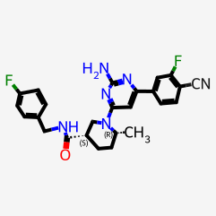 C[C@@H]1CC[C@H](C(=O)NCc2ccc(F)cc2)CN1c1cc(-c2ccc(C#N)c(F)c2)nc(N)n1